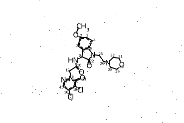 COc1ccc2c(c1)C(NC(=O)Cn1ncc(Cl)c(Cl)c1=O)C(=O)N2CCN1CCOCC1